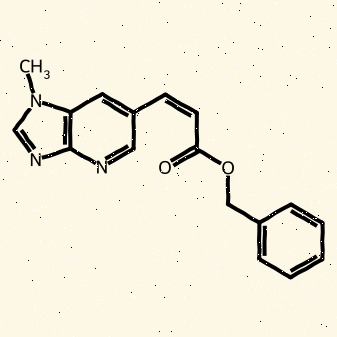 Cn1cnc2ncc(/C=C\C(=O)OCc3ccccc3)cc21